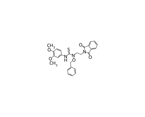 COc1ccc(NC(=S)N(CCN2C(=O)c3ccccc3C2=O)OCc2ccccc2)cc1OC